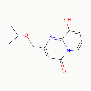 CC(C)OCc1cc(=O)n2cccc(O)c2n1